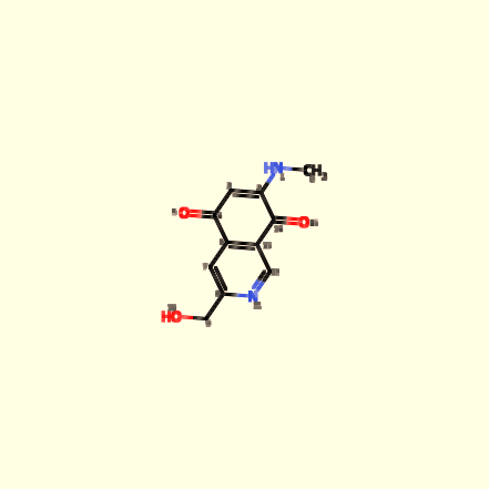 CNC1=CC(=O)c2cc(CO)ncc2C1=O